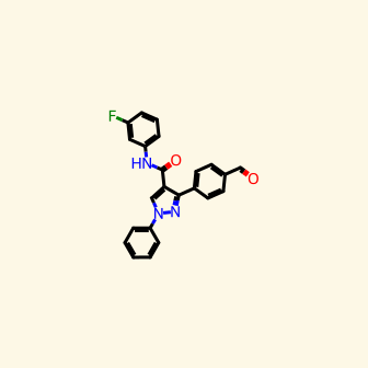 O=Cc1ccc(-c2nn(-c3ccccc3)cc2C(=O)Nc2cccc(F)c2)cc1